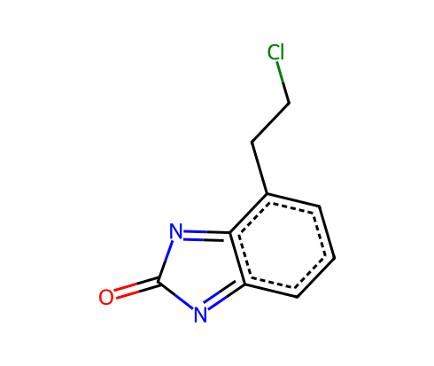 O=C1N=c2cccc(CCCl)c2=N1